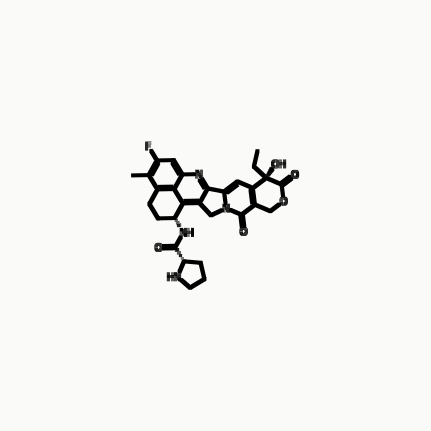 CC[C@]1(O)C(=O)OCc2c1cc1n(c2=O)Cc2c-1nc1cc(F)c(C)c3c1c2[C@H](NC(=O)[C@@H]1CCCN1)CC3